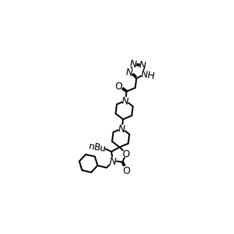 CCCCC1N(CC2CCCCC2)C(=O)OC12CCN(C1CCN(C(=O)Cc3nnn[nH]3)CC1)CC2